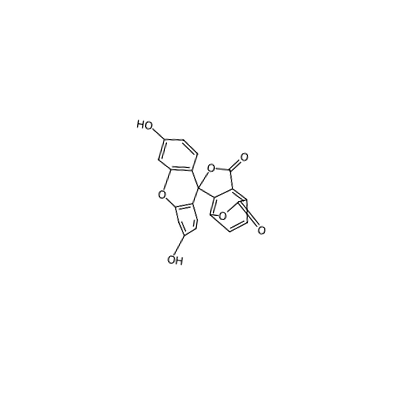 O=C1OC2(c3ccc(O)cc3Oc3cc(O)ccc32)c2c1c1ccc2oc1=O